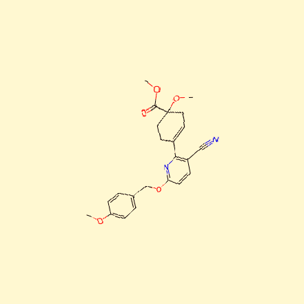 COC(=O)C1(OC)CC=C(c2nc(OCc3ccc(OC)cc3)ccc2C#N)CC1